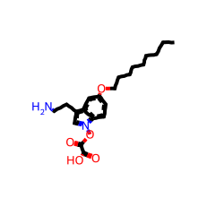 CCCCCCCCCOc1ccc2c(c1)c(CCN)cn2OC(=O)C(=O)O